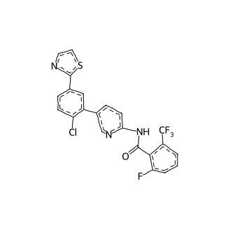 O=C(Nc1ccc(-c2cc(-c3nccs3)ccc2Cl)cn1)c1c(F)cccc1C(F)(F)F